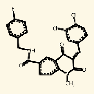 CN1C(=O)/C(=C/c2ccc(Cl)c(Cl)c2)C(=O)c2cc(C(=O)NCc3ccc(F)cc3)ccc21